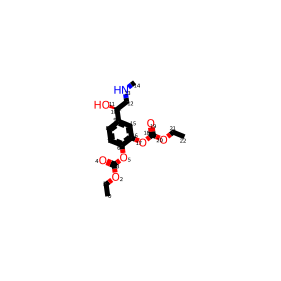 CCOC(=O)Oc1ccc([C@@H](O)CNC)cc1OC(=O)OCC